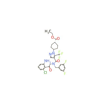 CCOC(=O)[C@H]1CC[C@H](n2ncc(C(=O)N(CC(=O)c3c(N)cccc3Cl)Cc3cc(F)cc(F)c3)c2C(F)(F)F)CC1